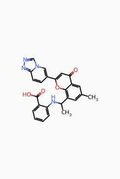 Cc1cc(C(C)Nc2ccccc2C(=O)O)c2oc(-c3ccc4nncn4c3)cc(=O)c2c1